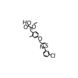 CCO[C@@H](Cc1ccc(OCc2csc(-c3cccc(Cl)c3)n2)cc1C)C(=O)O